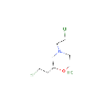 Cl.ClCCC1CN(CCCl)CCO1